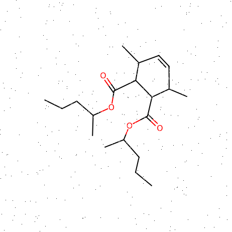 CCCC(C)OC(=O)C1C(C)C=CC(C)C1C(=O)OC(C)CCC